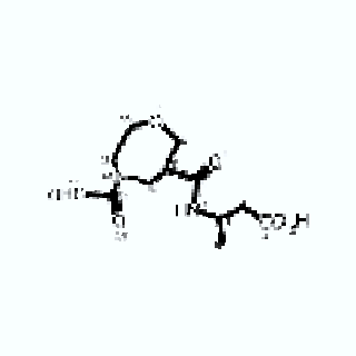 CC(CC(=O)O)NC(=O)C1COCCN(C(=O)C=O)C1